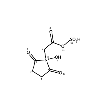 O=C(C[N+]1(O)C(=O)CCC1=O)OS(=O)(=O)O